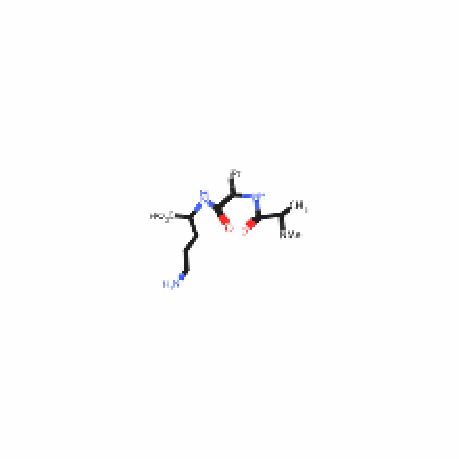 CNC(C)C(=O)NC(C(=O)NC(CCCN)C(=O)O)C(C)C